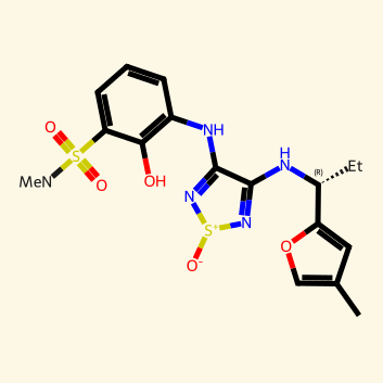 CC[C@@H](Nc1n[s+]([O-])nc1Nc1cccc(S(=O)(=O)NC)c1O)c1cc(C)co1